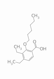 CCCCCCOc1c(C(=O)O)ccc(CC)c1CC